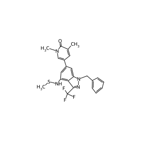 CSNc1cc(-c2cc(C)c(=O)n(C)c2)cc2c1c(C(F)(F)F)nn2Cc1ccccc1